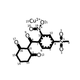 CS(=O)(=O)c1ccc(C(=O)C2C(=O)CCCC2=O)c([N+](=O)[O-])c1.[Cu+2]